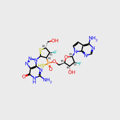 Nc1nc2c(nnn2C2S[C@H](CO)[C@@H](F)[C@H]2P(=O)(S)OC[C@H]2O[C@@H](n3ccc4c(N)ncnc43)[C@@H](F)[C@@H]2O)c(=O)[nH]1